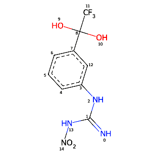 N=C(Nc1cccc(C(O)(O)C(F)(F)F)c1)N[N+](=O)[O-]